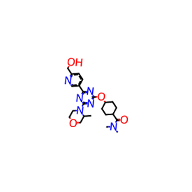 CC1COCCN1c1nc(OC2CCC(C(=O)N(C)C)CC2)nc(-c2ccc(CO)nc2)n1